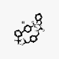 O=C(O)Cc1ccc(CNC(=O)[C@@H]2Cc3ccccc3N2S(=O)(=O)c2ccc(-c3cccc(C(F)(F)F)c3)cc2)cc1.[KH]